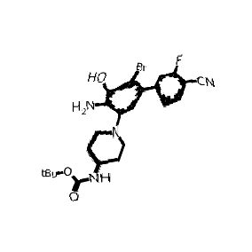 CC(C)(C)OC(=O)NC1CCN(c2cc(-c3ccc(C#N)c(F)c3)c(Br)c(O)c2N)CC1